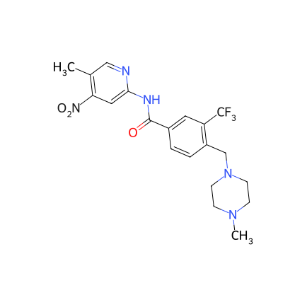 Cc1cnc(NC(=O)c2ccc(CN3CCN(C)CC3)c(C(F)(F)F)c2)cc1[N+](=O)[O-]